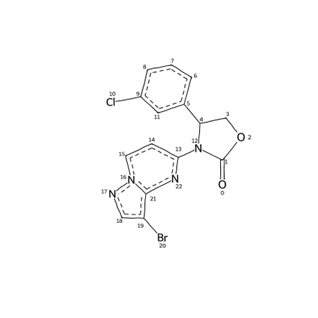 O=C1OCC(c2cccc(Cl)c2)N1c1ccn2ncc(Br)c2n1